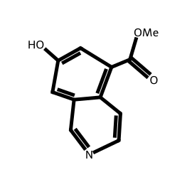 COC(=O)c1cc(O)cc2cnccc12